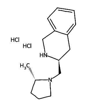 C[C@H]1CCCN1C[C@@H]1Cc2ccccc2CN1.Cl.Cl